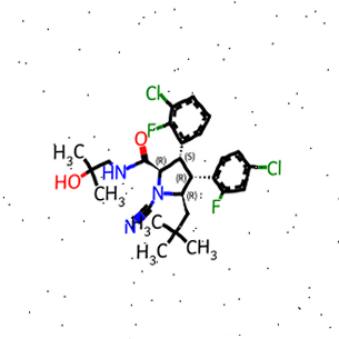 CC(C)(C)C[C@@H]1[C@@H](c2ccc(Cl)cc2F)[C@@H](c2cccc(Cl)c2F)[C@H](C(=O)NCC(C)(C)O)N1C#N